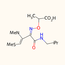 CNC(=C\SC)/C(=N/OC(C)C(=O)O)C(=O)NCC(C)C